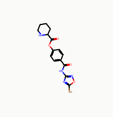 O=C(Nc1noc(S)n1)c1ccc(OC(=O)C2CCCCN2)cc1